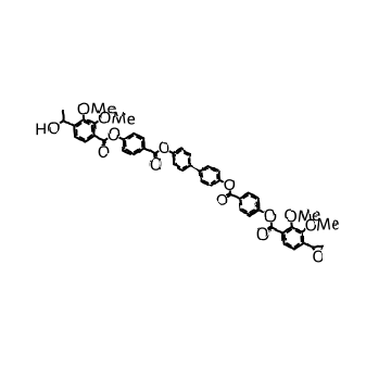 COc1c(C(=O)Oc2ccc(C(=O)Oc3ccc(-c4ccc(OC(=O)c5ccc(OC(=O)c6ccc(C7CO7)c(OC)c6OC)cc5)cc4)cc3)cc2)ccc(C(C)O)c1OC